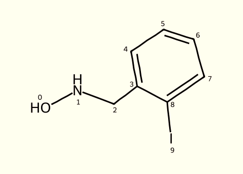 ONCc1ccccc1I